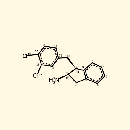 N[C@@H]1Cc2ccccc2[C@@H]1Cc1ccc(Cl)c(Cl)c1